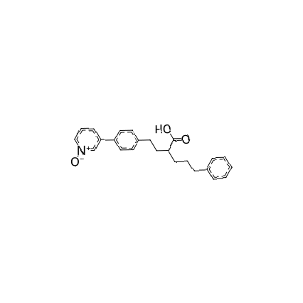 O=C(O)C(CCCc1ccccc1)CCc1ccc(-c2ccc[n+]([O-])c2)cc1